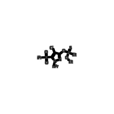 CCCn1nc(OP(=S)(CC)OCC)c(Cl)c1S(=O)(=O)C(C)C